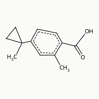 Cc1cc(C2(C)CC2)ccc1C(=O)O